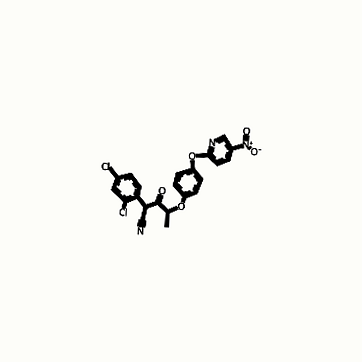 CC(Oc1ccc(Oc2ccc([N+](=O)[O-])cn2)cc1)C(=O)C(C#N)c1ccc(Cl)cc1Cl